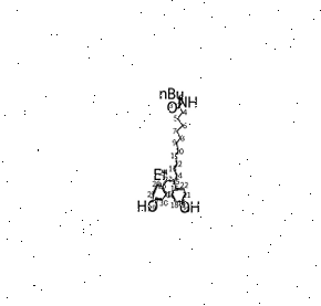 CCCCNC(=O)CCCCCCCCCCCC(c1ccc(O)cc1)C(CC)c1ccc(O)cc1